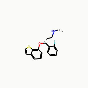 CNCC[C@@H](Oc1cccc2ccsc12)c1ccccc1F